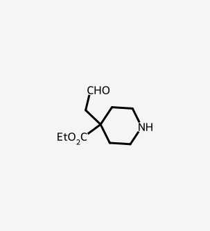 CCOC(=O)C1(CC=O)CCNCC1